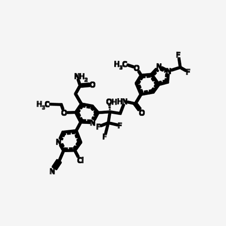 CCOc1c(CC(N)=O)cc([C@@](O)(CNC(=O)c2cc(OC)c3nn(C(F)F)cc3c2)C(F)(F)F)nc1-c1cnc(C#N)c(Cl)c1